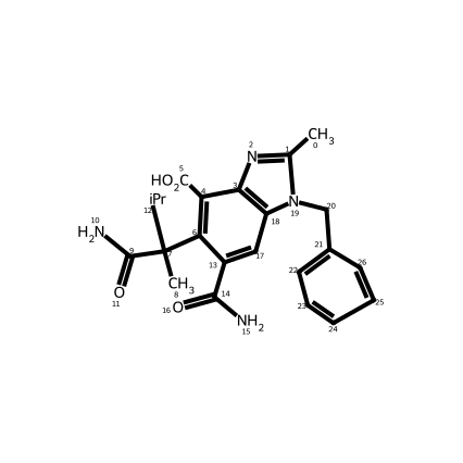 Cc1nc2c(C(=O)O)c(C(C)(C(N)=O)C(C)C)c(C(N)=O)cc2n1Cc1ccccc1